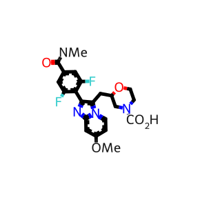 CNC(=O)c1cc(F)c(-c2nc3cc(OC)ccn3c2CC2CN(C(=O)O)CCO2)c(F)c1